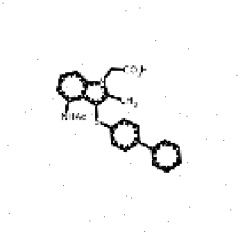 CC(=O)Nc1cccc2c1c(Sc1ccc(-c3ccccc3)cc1)c(C)n2CC(=O)O